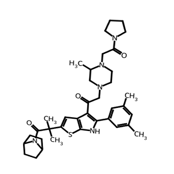 Cc1cc(C)cc(-c2[nH]c3sc(C(C)(C)C(=O)N4C5CCC4CC5)cc3c2C(=O)CN2CCN(CC(=O)N3CCCC3)C(C)C2)c1